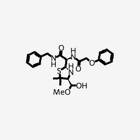 COC(O)[C@@H]1N[C@@H]([C@H](NC(=O)COc2ccccc2)C(=O)NCc2ccccc2)SC1(C)C